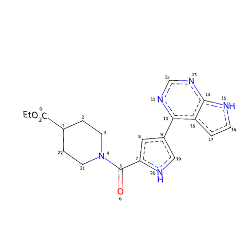 CCOC(=O)C1CCN(C(=O)c2cc(-c3ncnc4[nH]ccc34)c[nH]2)CC1